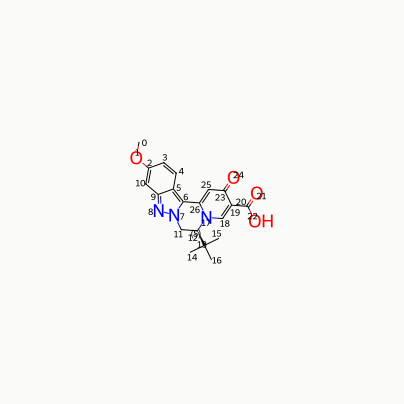 COc1ccc2c3n(nc2c1)C[C@H](C(C)(C)C)n1cc(C(=O)O)c(=O)cc1-3